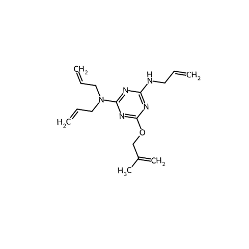 C=CCNc1nc(OCC(=C)C)nc(N(CC=C)CC=C)n1